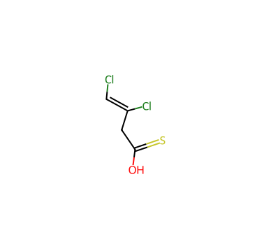 OC(=S)CC(Cl)=CCl